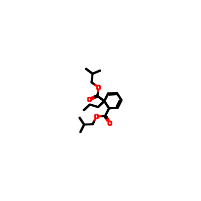 CCCC1(C(=O)OCC(C)C)C=CC=CC1C(=O)OCC(C)C